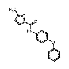 Cc1ccc(C(=O)Nc2ccc(Oc3ccccc3)cc2)o1